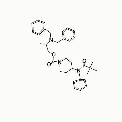 C[C@@H](COC(=O)N1CCC(N(C(=O)C(C)(C)C)c2ccccc2)CC1)N(Cc1ccccc1)Cc1ccccc1